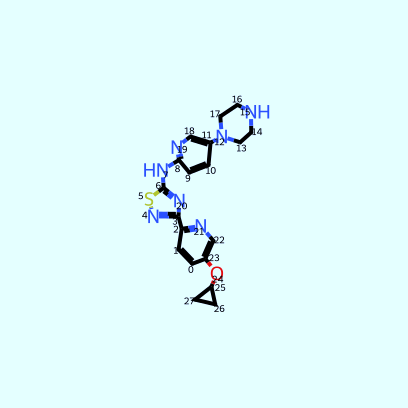 c1cc(-c2nsc(Nc3ccc(N4CCNCC4)cn3)n2)ncc1OC1CC1